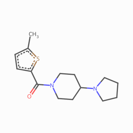 Cc1ccc(C(=O)N2CCC(N3CCCC3)CC2)s1